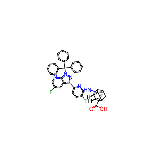 O=C(O)[C@H]1C2CCC(CC2)[C@H]1Nc1nc(-c2nn(C(c3ccccc3)(c3ccccc3)c3ccccc3)c3ncc(F)cc23)ccc1F